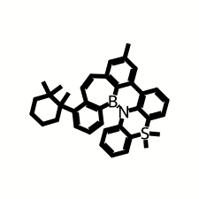 Cc1cc2c3c(c1)-c1cccc4c1N(B3c1cccc(C3(C)CCCCC3(C)C)c1C=C2)c1ccccc1S4(C)C